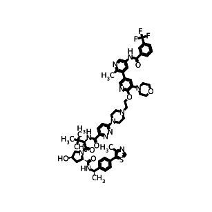 Cc1ncc(NC(=O)c2cccc(C(F)(F)F)c2)cc1-c1cnc(OCCN2CCN(c3ccc(C(=O)N[C@@H](C(=O)N4C[C@H](O)C[C@H]4C(=O)N[C@@H](C)c4ccc(-c5scnc5C)cc4)C(C)(C)C)nn3)CC2)c(N2CCOCC2)c1